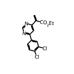 C=C(C(=O)OCC)c1cc(-c2ccc(Cl)c(Cl)c2)ncn1